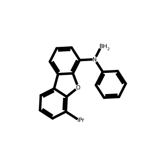 BN(c1ccccc1)c1cccc2c1oc1c(C(C)C)cccc12